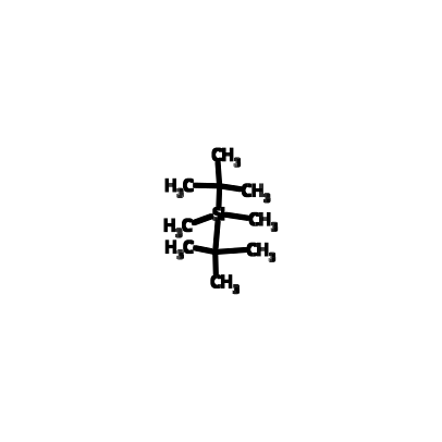 CC(C)(C)[Si](C)(C)C(C)(C)C